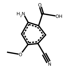 COc1cc(N)c(C(=O)O)cc1C#N